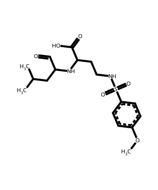 COc1ccc(S(=O)(=O)NCCC(NC(C=O)CC(C)C)C(=O)O)cc1